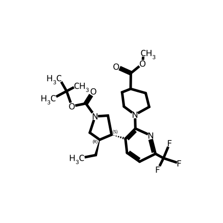 CC[C@H]1CN(C(=O)OC(C)(C)C)C[C@@H]1c1ccc(C(F)(F)F)nc1N1CCC(C(=O)OC)CC1